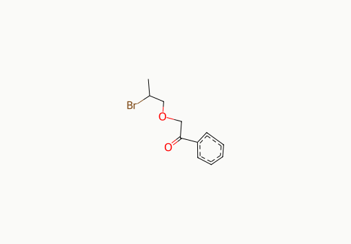 CC(Br)COCC(=O)c1ccccc1